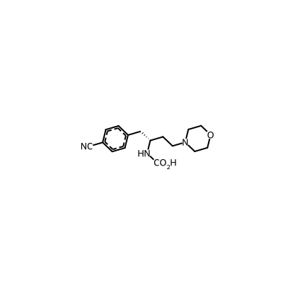 N#Cc1ccc(C[C@H](CCN2CCOCC2)NC(=O)O)cc1